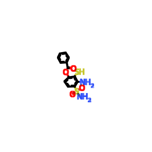 Nc1c(S(N)(=O)=O)ccc(OC(=O)c2ccccc2)c1S